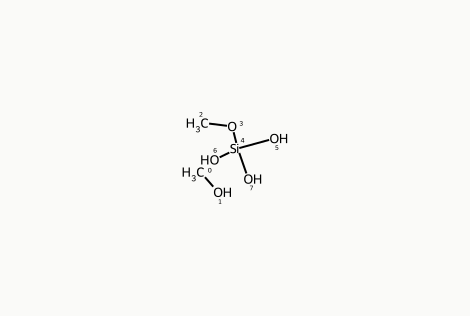 CO.CO[Si](O)(O)O